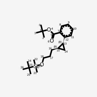 CC(C)(C)OC(=O)c1ccccc1[C@@H]1C[C@H]1CCCO[Si](C)(C)C(C)(C)C